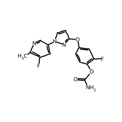 Cc1ncc(-n2ccc(Oc3ccc(OC(N)=O)c(F)c3)n2)cc1F